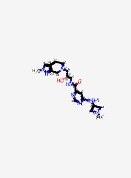 CC(=O)N1CC(Nc2cc(C(=O)NC[C@H](O)CN3CCc4cn(C)nc4C3)ncn2)C1